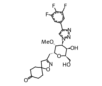 CO[C@@H]1[C@@H](n2cc(-c3cc(F)c(F)c(F)c3)nn2)[C@@H](O)[C@@H](CO)O[C@@H]1CC1=NOC2(CCC(=O)CC2)C1